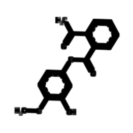 COc1ccc(OC(=O)c2ccccc2C(C)=O)cc1O